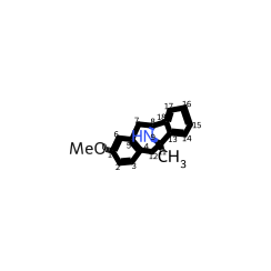 COc1ccc2c(c1)CC1NC(C)(C2)c2ccccc21